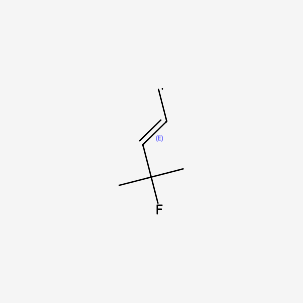 [CH2]/C=C/C(C)(C)F